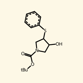 CC(C)(C)OC(=O)N1CC(O)C(Sc2ccccc2)C1